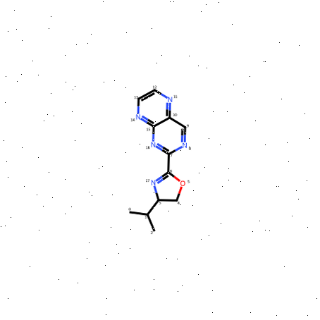 CC(C)C1COC(c2ncc3nccnc3n2)=N1